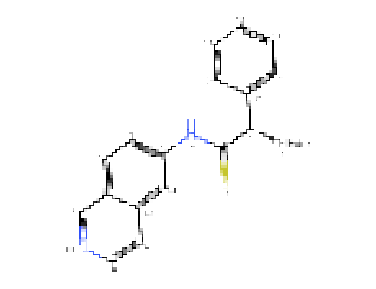 CN[C@@H](C(=S)Nc1ccc2cnccc2c1)c1ccccc1